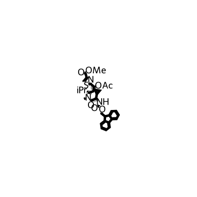 COC(=O)c1csc([C@@H](C[C@H](C(C)C)N(C)C(=O)[C@@H](NC(=O)OCC2c3ccccc3-c3ccccc32)C2CC2)OC(C)=O)n1